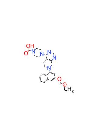 COCOc1cc(N2CCc3c(ncnc3N3CCN(C(=O)O)CC3)C2)c2ccccc2c1